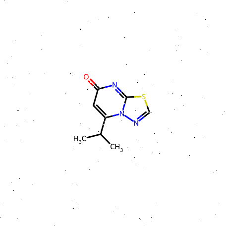 CC(C)c1cc(=O)nc2s[c]nn12